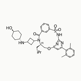 Cc1cccc(C)c1-c1cc2nc(n1)NS(=O)(=O)c1cccc(c1)C(=O)N(C1CC(N[C@H]3CC[C@H](O)CC3)C1)[C@H](CC(C)C)CO2